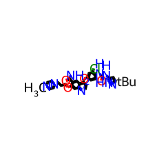 CN1CCN(CCCOc2cc3nccc(Oc4ccc(NC(=O)Nc5cc(C(C)(C)C)n[nH]5)c(Cl)c4)c3cc2C(N)=O)CC1